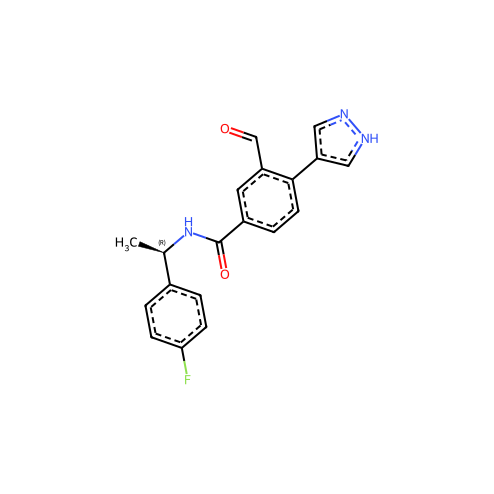 C[C@@H](NC(=O)c1ccc(-c2cn[nH]c2)c(C=O)c1)c1ccc(F)cc1